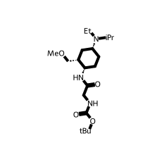 CCN(C(C)C)[C@@H]1CC[C@H](NC(=O)CNC(=O)OC(C)(C)C)[C@H](COC)C1